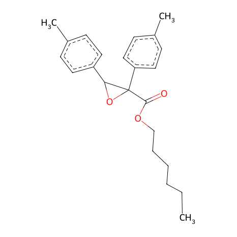 CCCCCCOC(=O)C1(c2ccc(C)cc2)OC1c1ccc(C)cc1